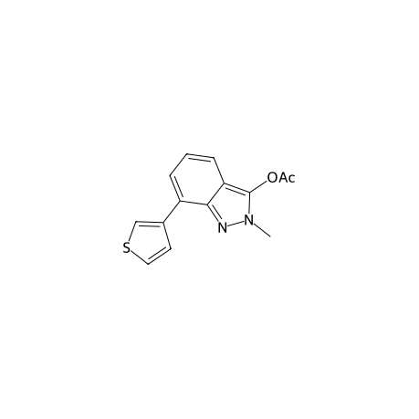 CC(=O)Oc1c2cccc(-c3ccsc3)c2nn1C